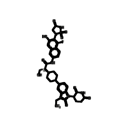 CCn1c(=O)n(C2CCC(=O)NC2=O)c2ccc(C3CCN([C@H](CO)C(=O)Nc4ccc5c(F)c(N6CC(=O)NS6(=O)=O)c(O)cc5c4)CC3)cc21